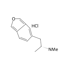 CN[C@H](C)Cc1ccc2cocc2c1.Cl